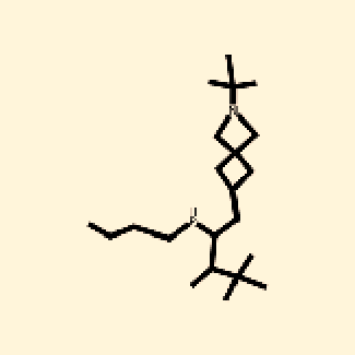 CCCCPC(CC1CC2(C1)CN(C(C)(C)C)C2)C(C)C(C)(C)C